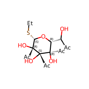 CCS[C@@H]1O[C@H](C(O)C(C)=O)[C@](O)(C(C)=O)[C@@](O)(C(C)=O)[C@@]1(O)C(C)=O